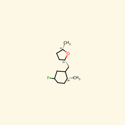 C[C@@H]1CCC(F)CC1C[C@@H]1CC[C@H](C)O1